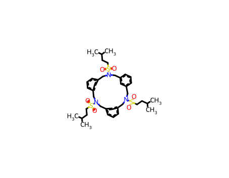 CC(C)CCS(=O)(=O)N1Cc2cccc(c2)CN(S(=O)(=O)CCC(C)C)Cc2cccc(c2)CN(S(=O)(=O)CCC(C)C)Cc2cccc(c2)C1